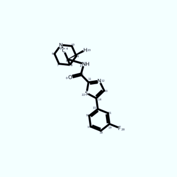 O=C(N[C@H]1CN2CCC1CC2)c1ncc(-c2cccc(F)c2)s1